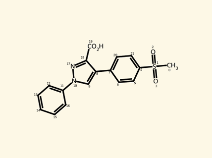 CS(=O)(=O)c1ccc(-c2cn(-c3ccccc3)nc2C(=O)O)cc1